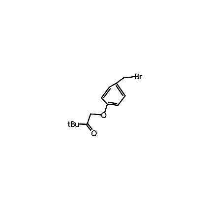 CC(C)(C)C(=O)COc1ccc(CBr)cc1